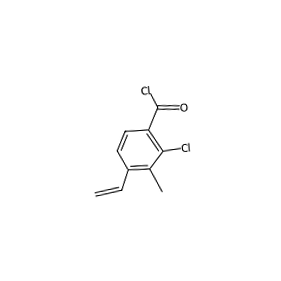 C=Cc1ccc(C(=O)Cl)c(Cl)c1C